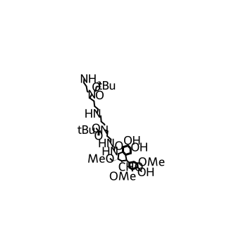 COC[C@@H]1[C@H](NC(=O)NCCCN(CCCNCCCCN(CCCN)C(=O)OC(C)(C)C)C(=O)OC(C)(C)C)c2cc(O)c(O)cc2C(c2cc(OC)c(O)c(OC)c2)[C@H]1C=O